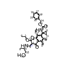 CCOC(=O)/C(=C\NC(C)CO)C(=O)c1cc(F)c(C2(NC(=O)OCc3ccccc3)CC2)c(F)c1F